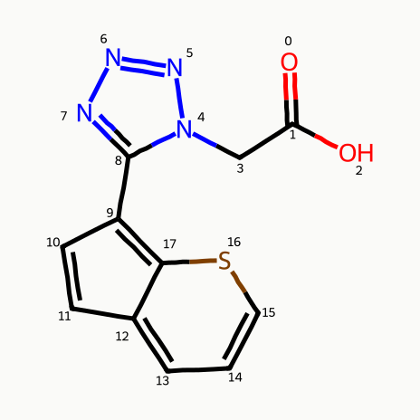 O=C(O)Cn1nnnc1-c1ccc2cccsc1-2